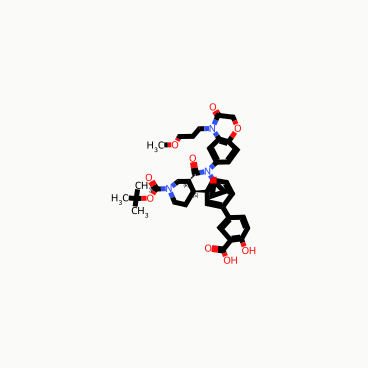 COCCCN1C(=O)COc2ccc(N(C(=O)[C@H]3CN(C(=O)OC(C)(C)C)CC[C@@H]3c3cccc(-c4ccc(O)c(C(=O)O)c4)c3)C3CC3)cc21